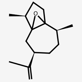 C=C(C)[C@@H]1CC[C@H](C)C23CC[C@H](C)C2(C1)O3